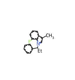 CCC(c1ccccc1)n1cc(C)c2cccc(F)c21